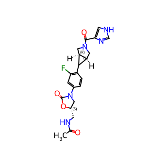 CC(=O)NC[C@H]1CN(c2ccc(C3[C@H]4CN(C(=O)c5c[nH]cn5)C[C@@H]34)c(F)c2)C(=O)O1